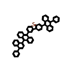 c1ccc(-c2ccc(-c3c4ccccc4c(-c4ccc5sc6cc(-c7c8ccccc8c(-c8ccccc8)c8ccccc78)ccc6c5c4)c4ccccc34)c3ccccc23)cc1